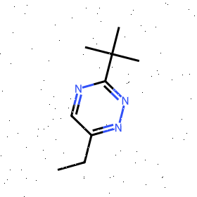 CCc1cnc(C(C)(C)C)nn1